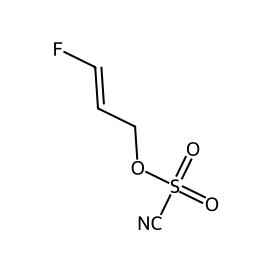 N#CS(=O)(=O)OCC=CF